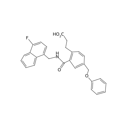 O=C(O)CCc1ccc(COc2ccccc2)cc1C(=O)NCc1ccc(F)c2ccccc12